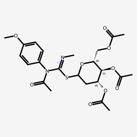 C/N=C(\SC1C[C@@H](OC(C)=O)[C@H](OC(C)=O)[C@@H](COC(C)=O)O1)N(C(C)=O)c1ccc(OC)cc1